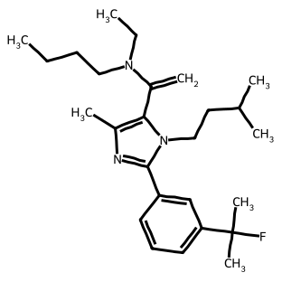 C=C(c1c(C)nc(-c2cccc(C(C)(C)F)c2)n1CCC(C)C)N(CC)CCCC